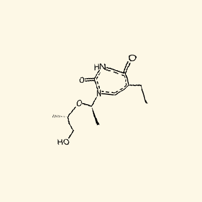 CCc1cn([C@@H](C)O[C@@H](C)CO)c(=O)[nH]c1=O